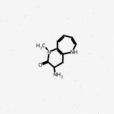 CN1C(=O)C(N)CC2=C1C=CC=CN2